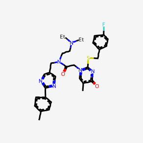 CCN(CC)CCN(Cc1cnc(-c2ccc(C)cc2)nc1)C(=O)Cn1cc(C)c(=O)nc1SCc1ccc(F)cc1